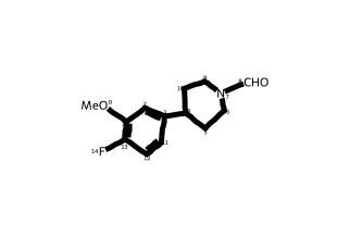 COc1cc(C2CCN(C=O)CC2)ccc1F